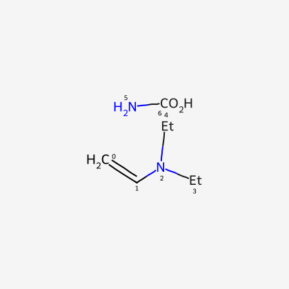 C=CN(CC)CC.NC(=O)O